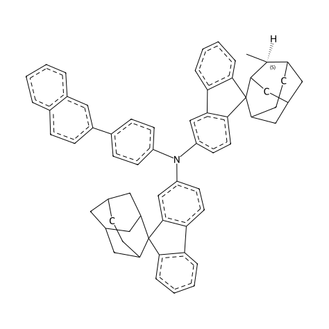 C[C@H]1C2CCC3CC(C2)CC1C31c2ccccc2-c2cc(N(c3ccc(-c4ccc5ccccc5c4)cc3)c3ccc4c(c3)C3(c5ccccc5-4)C4CCC5CC(C4)CC3C5)ccc21